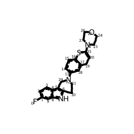 Fc1ccc2c3c([nH]c2c1)CCN(c1ccc2c(c1)CC=C(N1CCOCC1)S2)C3